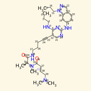 CCCNc1nc(Nc2ccc3cnn(CCC)c3c2)ncc1C#CCCCNC(=O)[C@H](C)N(C)C(=O)/C=C/CN(C)C